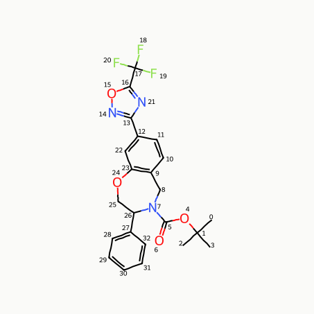 CC(C)(C)OC(=O)N1Cc2ccc(-c3noc(C(F)(F)F)n3)cc2OCC1c1ccccc1